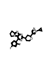 Fc1ccc(-c2nc(C3CCOC(c4cnn(C5CC5)c4)C3)nc3nc4n(c23)CCC4)c(F)c1